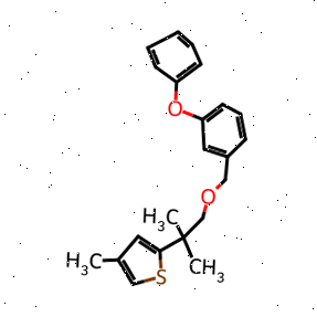 Cc1csc(C(C)(C)COCc2cccc(Oc3ccccc3)c2)c1